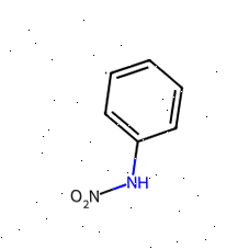 O=[N+]([O-])Nc1c[c]ccc1